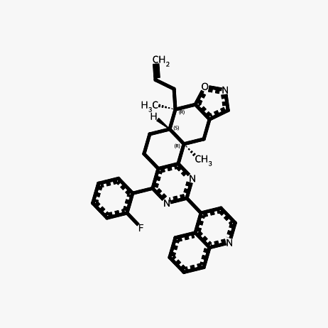 C=CC[C@@]1(C)c2oncc2C[C@@]2(C)c3nc(-c4ccnc5ccccc45)nc(-c4ccccc4F)c3CC[C@@H]21